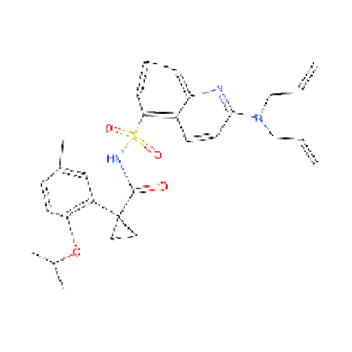 C=CCN(CC=C)c1ccc2c(S(=O)(=O)NC(=O)C3(c4cc(C)ccc4OC(C)C)CC3)cccc2n1